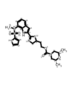 C[C@@H]1CN(C(=O)OCCC2CN=C(c3cc4cccc(N(C)S(=O)(=O)c5cccs5)c4[nH]3)S2)C[C@H](C)O1